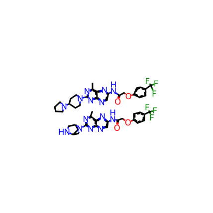 Cc1nc(N2CC3CC2CN3)nc2ncc(NC(=O)COc3ccc(C(F)(F)F)cc3)nc12.Cc1nc(N2CCC(N3CCCC3)CC2)nc2ncc(NC(=O)COc3ccc(C(F)(F)F)cc3)nc12